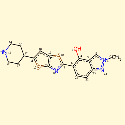 Cn1cc2c(O)c(-c3nc4sc(C5CCNCC5)cc4s3)ccc2n1